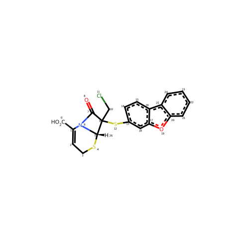 O=C(O)C1=CCS[C@@H]2N1C(=O)C2(CCl)Sc1ccc2c(c1)oc1ccccc12